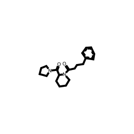 O=C(C1CCCCN1C(=O)CCCc1ccccc1)N1CCCC1